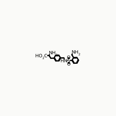 NCc1ccccc1S(=O)(=O)NCc1ccc(CC(N)C(=O)O)cc1